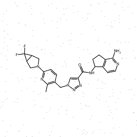 Cc1nc(N2CC3C(C2)C3(F)F)ccc1Cn1cc(C(=O)NC2CCc3c2ccnc3N)nn1